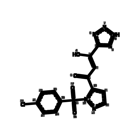 O=C(C=C(O)c1nn[nH]n1)c1ccnn1S(=O)(=O)c1ccc(Cl)cc1